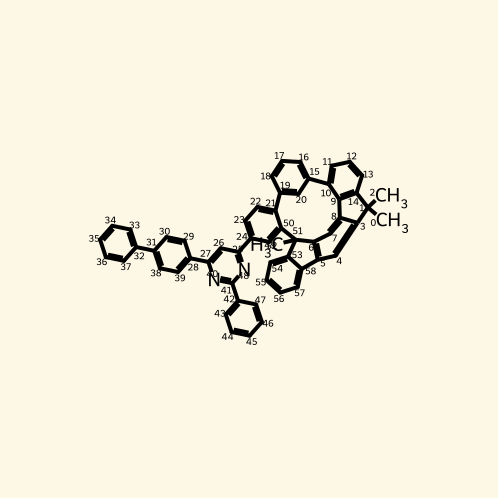 CC1(C)c2cc3c4cc2-c2c(cccc21)-c1cccc(c1)-c1ccc(-c2cc(-c5ccc(-c6ccccc6)cc5)nc(-c5ccccc5)n2)cc1C4(C)c1ccccc1-3